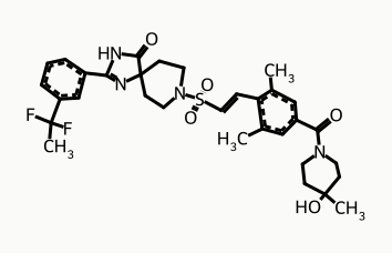 Cc1cc(C(=O)N2CCC(C)(O)CC2)cc(C)c1C=CS(=O)(=O)N1CCC2(CC1)N=C(c1cccc(C(C)(F)F)c1)NC2=O